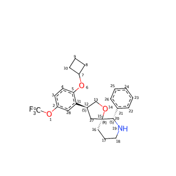 FC(F)(F)Oc1ccc(OC2CCC2)c([C@H]2CO[C@]3(CCCN[C@H]3c3ccccc3)C2)c1